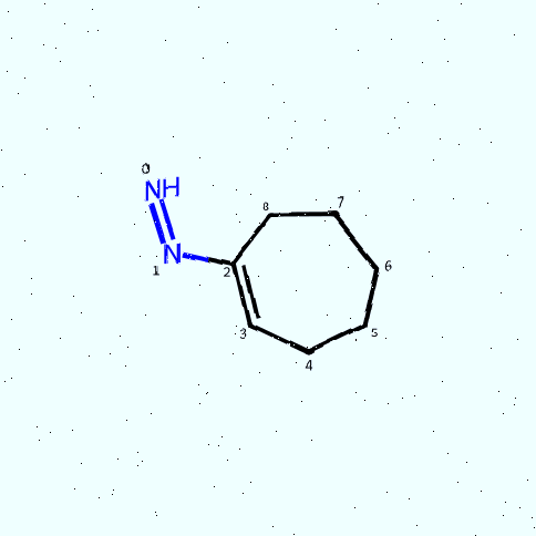 N=NC1=CCCCCC1